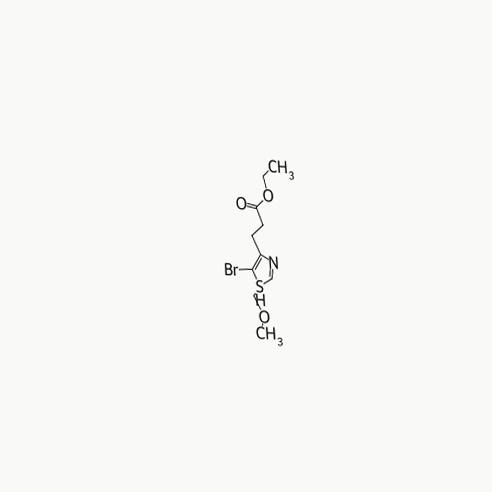 CCOC(=O)CCC1=C(Br)[SH](COC)C=N1